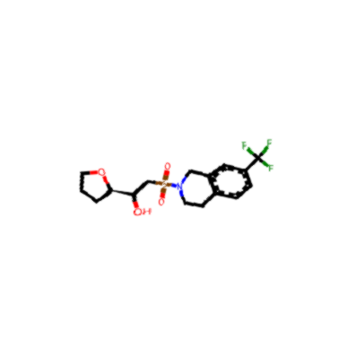 O=S(=O)(CC(O)[C@H]1CCCO1)N1CCc2ccc(C(F)(F)F)cc2C1